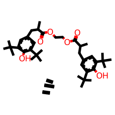 C=C.C=C.C=C.CC(Cc1cc(C(C)(C)C)c(O)c(C(C)(C)C)c1)C(=O)OCCOC(=O)C(C)Cc1cc(C(C)(C)C)c(O)c(C(C)(C)C)c1